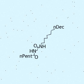 CCCCCCCCCCCCCCCCCCNC(=O)CNC(=O)CCCCC